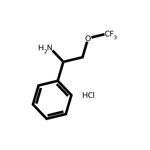 Cl.NC(COC(F)(F)F)c1ccccc1